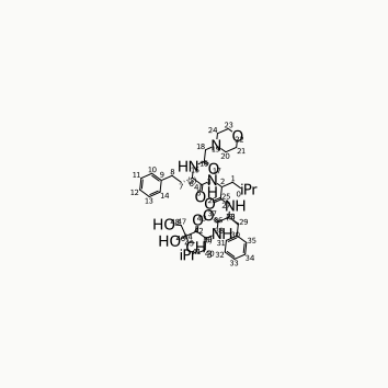 CC(C)CC(NC(=O)[C@H](CCc1ccccc1)NC(=O)CN1CCOCC1)C(=O)N[C@@H](Cc1ccccc1)C(=O)N[C@@H](CC(C)C)C(=O)C(C)(O)CO